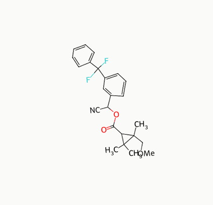 COCC1(C)C(C(=O)OC(C#N)c2cccc(C(F)(F)c3ccccc3)c2)C1(C)C